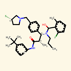 CCCN(C(O)c1c(C)cccc1F)[C@@H](c1ccc(CN2CC[C@H](F)C2)cc1)[C@H](C)C(=O)Nc1cccc(C(C)(C)C)c1